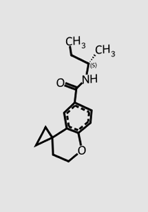 CC[C@H](C)NC(=O)c1ccc2c(c1)C1(CCO2)CC1